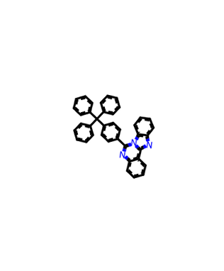 c1ccc(C(c2ccccc2)(c2ccccc2)c2ccc(-c3nc4ccccc4c4nc5ccccc5n34)cc2)cc1